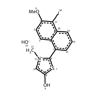 COc1ccc2c(-c3sc(O)c[n+]3C)cccc2c1I.[OH-]